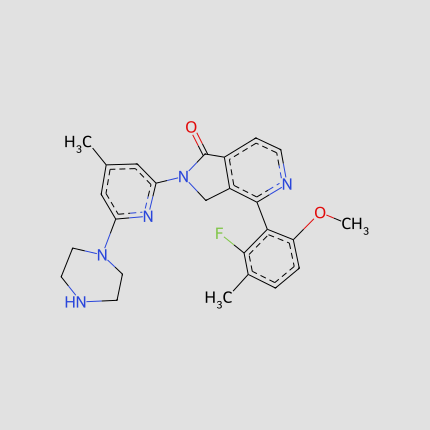 COc1ccc(C)c(F)c1-c1nccc2c1CN(c1cc(C)cc(N3CCNCC3)n1)C2=O